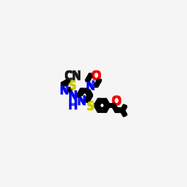 CC(C)=CC(=O)c1ccc(Sc2cc(N3CCOCC3)cc(Nc3ncc(C#N)s3)n2)cc1